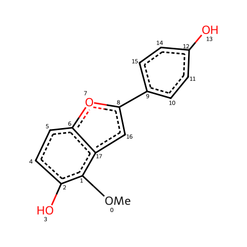 COc1c(O)ccc2oc(-c3ccc(O)cc3)cc12